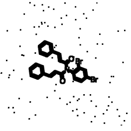 O=C(C=Cc1ccccc1)N(C(=O)C=Cc1ccccc1)c1ccc(Br)cc1Br